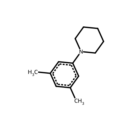 Cc1cc(C)cc(N2CCCCC2)c1